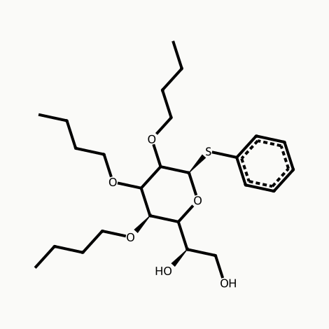 CCCCOC1C(OCCCC)[C@@H](Sc2ccccc2)OC([C@H](O)CO)[C@H]1OCCCC